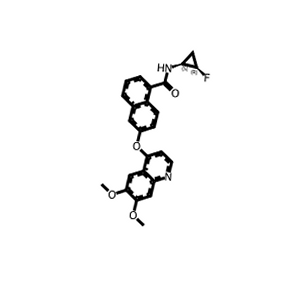 COc1cc2nccc(Oc3ccc4c(C(=O)N[C@H]5C[C@H]5F)cccc4c3)c2cc1OC